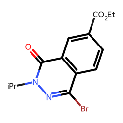 CCOC(=O)c1ccc2c(Br)nn(C(C)C)c(=O)c2c1